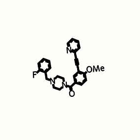 COc1ccc(C(=O)N2CCN(Cc3ccccc3F)CC2)cc1C#Cc1ccccn1